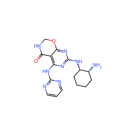 N[C@H]1CCCC[C@H]1Nc1nc(Nc2ncccn2)c2c(n1)OCNC2=O